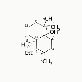 CC[C@H]1[C@@H](C)CCC2(O)C(C)(C)CCC[C@]12C